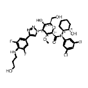 CO[C@@H]1[C@@H](n2cc(-c3cc(F)c(NCCCO)c(F)c3)nn2)[C@@H](O)[C@@H](CO)O[C@H]1C(=O)N(c1cc(Cl)cc(Cl)c1)[C@H]1CCCC[C@@H]1O